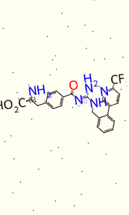 N/C(=N\C(=O)c1ccc(C[C@H](N)C(=O)O)cc1)NCc1ccccc1-c1ccc(C(F)(F)F)nc1